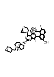 C#Cc1c(F)ccc2cc(O)cc(-c3nc(OC)c4c(N5CCOC6CC65)nc(OC[C@]56CCC[C@H]5N(CC5CCOCC5)CCC6)nc4c3F)c12